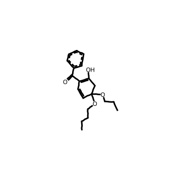 CCCCOC1(OCCC)C=CC(C(=O)c2ccccc2)=C(O)C1